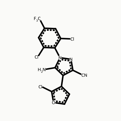 N#Cc1nn(-c2c(Cl)cc(C(F)(F)F)cc2Cl)c(N)c1-c1ccoc1Cl